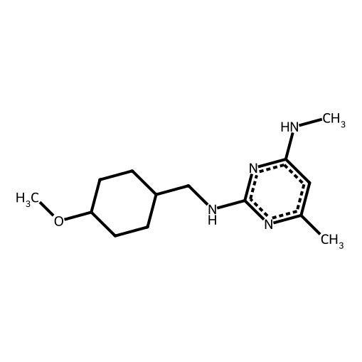 CNc1cc(C)nc(NCC2CCC(OC)CC2)n1